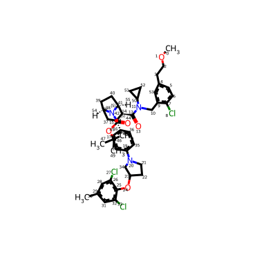 COCCc1ccc(Cl)c(CN(C(=O)[C@H]2[C@H](c3ccc(N4CCC(Oc5c(Cl)cc(C)cc5Cl)C4)cc3)C[C@H]3CC[C@@H]2N3C(=O)OC(C)(C)C)C2CC2)c1